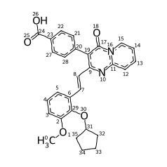 COc1cccc(/C=C/c2nc3ccccn3c(=O)c2-c2ccc(C(=O)O)cc2)c1OC1CCCC1